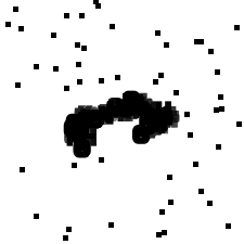 CNC(=O)C(CCC=O)N1Cc2c(OCCN3CC(Oc4cccc([S+]([O-])N5CCC(Nc6ncc(/C=C\C=O)c(N(C)C7CCCC7)n6)CC5)c4)C3)cccc2C1=O